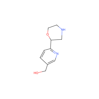 OCc1ccc(C2CNCCO2)nc1